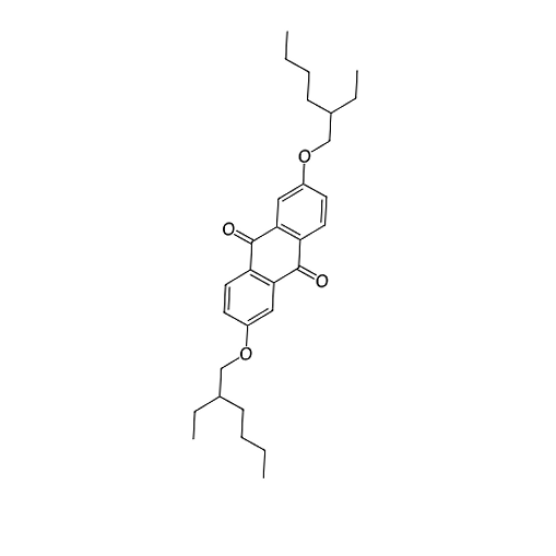 CCCCC(CC)COc1ccc2c(c1)C(=O)c1ccc(OCC(CC)CCCC)cc1C2=O